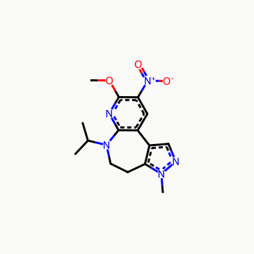 COc1nc2c(cc1[N+](=O)[O-])-c1cnn(C)c1CCN2C(C)C